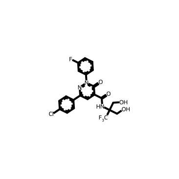 O=C(NC(CO)(CO)C(F)(F)F)c1cc(-c2ccc(Cl)cc2)nn(-c2cccc(F)c2)c1=O